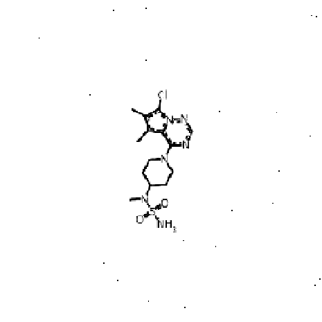 Cc1c(C)c2c(N3CCC(N(C)S(N)(=O)=O)CC3)ncnn2c1Cl